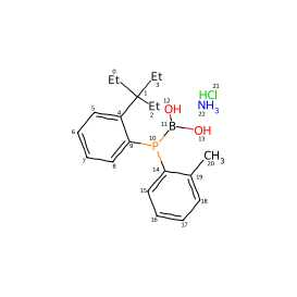 CCC(CC)(CC)c1ccccc1P(B(O)O)c1ccccc1C.Cl.N